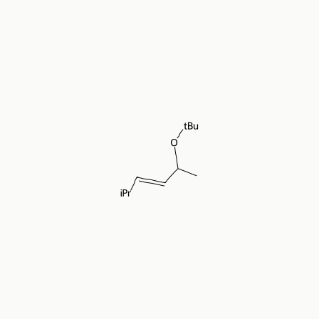 CC(C)/C=C/C(C)OC(C)(C)C